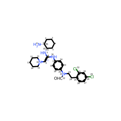 N[C@@H]1CCCC[C@@H]1N/C(=C\N1CCCCC1)Nc1ccc(N(C=O)CCc2ccc(Cl)cc2Cl)cc1